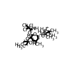 CCC1(CC)O[C@@H]2[C@@H](C)C[C@@H](CO[Si](C)(C)C(C)(C)C)OC(OC(=N)C(Cl)(Cl)Cl)[C@@H]2O1